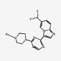 CC(=O)N1CCN(c2ccnc(-c3cnc4ccc(C(F)F)cn34)n2)CC1